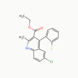 CCOC(=O)c1c(C)nc2ccc(Cl)cc2c1-c1ccccc1F